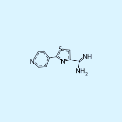 N=C(N)c1csc(-c2ccncc2)n1